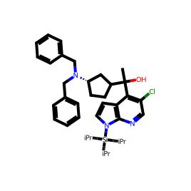 CC(C)[Si](C(C)C)(C(C)C)n1ccc2c(C(C)(O)C3CC[C@H](N(Cc4ccccc4)Cc4ccccc4)C3)c(Cl)cnc21